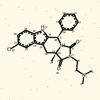 CN(C)CCN1C(=O)N2[C@H](c3ccccc3)c3[nH]c4ccc(Cl)cc4c3C[C@@]2(C)C1=O